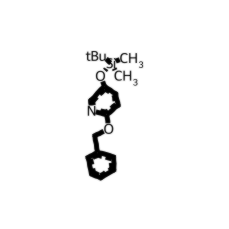 CC(C)(C)[Si](C)(C)Oc1ccc(OCc2ccccc2)nc1